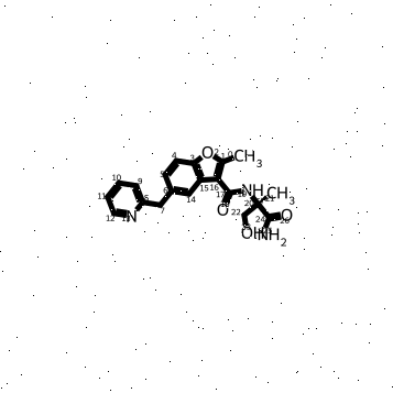 Cc1oc2ccc(Cc3ccccn3)cc2c1C(=O)N[C@@](C)(CO)C(N)=O